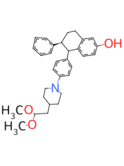 COC(CC1CCN(c2ccc(C3c4ccc(O)cc4CC[C@@H]3c3ccccc3)cc2)CC1)OC